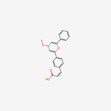 CON1C=C(c2ccccc2)OC(c2ccc(/C=C\C(=O)O)cc2)=C1